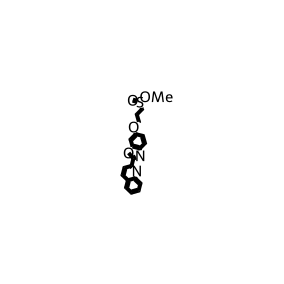 COS(=O)CCCOc1ccc2nc(-c3ccc4ccccc4n3)oc2c1